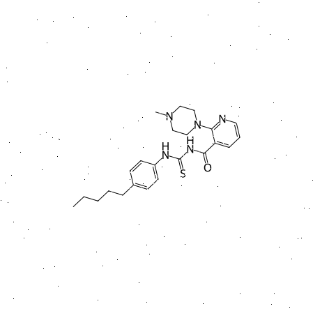 CCCCCc1ccc(NC(=S)NC(=O)c2cccnc2N2CCN(C)CC2)cc1